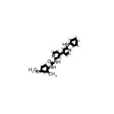 COc1ccc(NC(=O)Nc2cc(-c3ccnc(Nc4ccccc4)c3)ccn2)c(C)c1